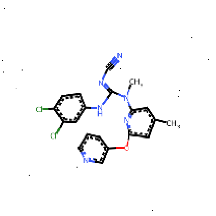 Cc1cc(Oc2cccnc2)nc(N(C)/C(=N\C#N)Nc2ccc(Cl)c(Cl)c2)c1